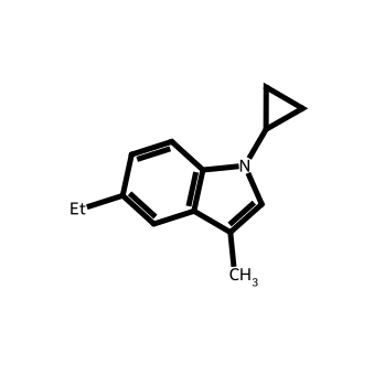 CCc1ccc2c(c1)c(C)cn2C1CC1